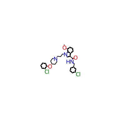 COc1cccc2c(C(=O)NCc3cccc(Cl)c3)cn(CCCN3CCC(Oc4ccccc4Cl)CC3)c12